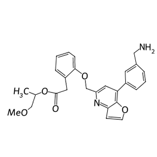 COCC(C)OC(=O)Cc1ccccc1OCc1cc(-c2cccc(CN)c2)c2occc2n1